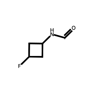 O=[C]NC1CC(F)C1